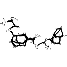 C=C(C)C(=O)OC1C2CC3CC1CC(C(=O)OC(C)OC1C4CC5CC(C4)CC1C5)(C3)C2